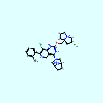 CC(C)(C)c1ccccc1-c1ncc2c(N3CC4CCC(C3)N4)nc(OC[C@@]34CCCN3C[C@H](F)C4)nc2c1F